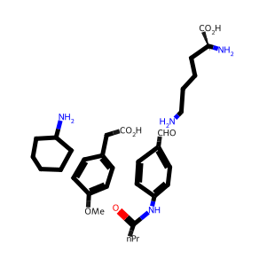 CCCC(=O)Nc1ccc(C=O)cc1.COc1ccc(CC(=O)O)cc1.NC1CCCCC1.NCCCC[C@H](N)C(=O)O